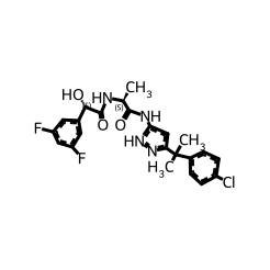 C[C@H](NC(=O)[C@@H](O)c1cc(F)cc(F)c1)C(=O)Nc1cc(C(C)(C)c2ccc(Cl)cc2)n[nH]1